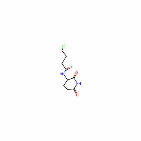 O=C1CCC(NC(=O)CCCCl)C(=O)N1